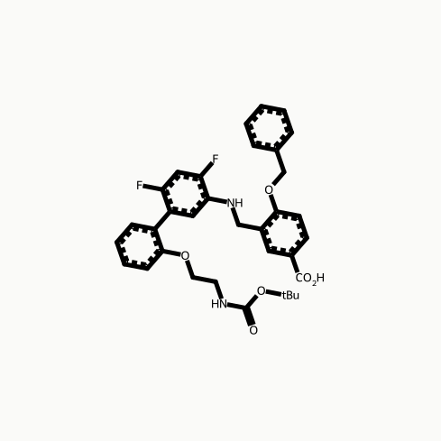 CC(C)(C)OC(=O)NCCOc1ccccc1-c1cc(NCc2cc(C(=O)O)ccc2OCc2ccccc2)c(F)cc1F